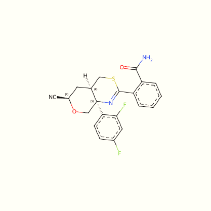 N#C[C@H]1C[C@H]2CSC(c3ccccc3C(N)=O)=N[C@@]2(c2ccc(F)cc2F)CO1